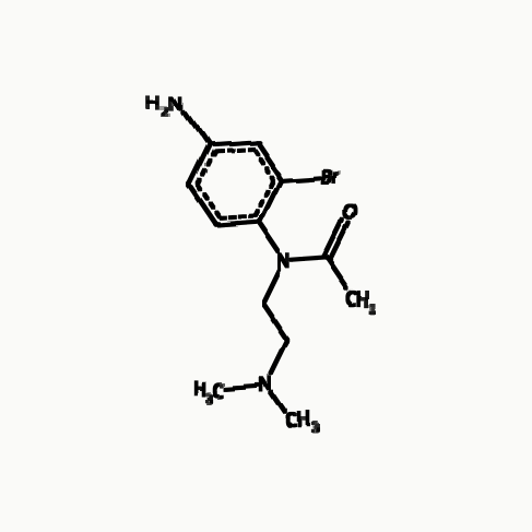 CC(=O)N(CCN(C)C)c1ccc(N)cc1Br